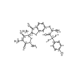 BC1C[C@](B)(N2Cc3cc(CN(B)C(=O)C(F)(F)c4ccc(Cl)cc4)ccc3C2=O)C(=O)N(B)C1=O